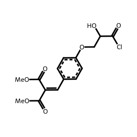 COC(=O)C(=Cc1ccc(OCC(O)C(=O)Cl)cc1)C(=O)OC